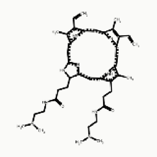 C=CC1=C(C)c2cc3[nH]c(cc4nc(cc5[nH]c(cc1n2)c(C)c5CCC(=O)NCCN(C)C)C(CCC(=O)NCCN(C)C)N4)c(C)c3C=C